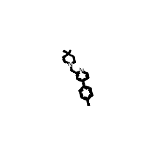 Cc1ccc(-c2ccnc(CN3CCC(C)(C)CC3)c2)cc1